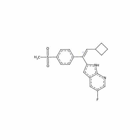 CS(=O)(=O)c1ccc(/C(=C/C2CCC2)c2cc3cc(F)cnc3[nH]2)cc1